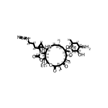 CC[C@H]1OC(=O)[C@H](C)C(=O)[C@H](C)[C@@H](O[C@@H]2OC(C)CC(N)C2O)[C@](C)(OC)C[C@@H](C)CN[C@H](C2CC2)[C@@H]2[C@@H]1OC(=O)N2CCCCN=[N+]=[N-]